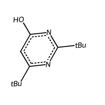 CC(C)(C)c1cc(O)nc(C(C)(C)C)n1